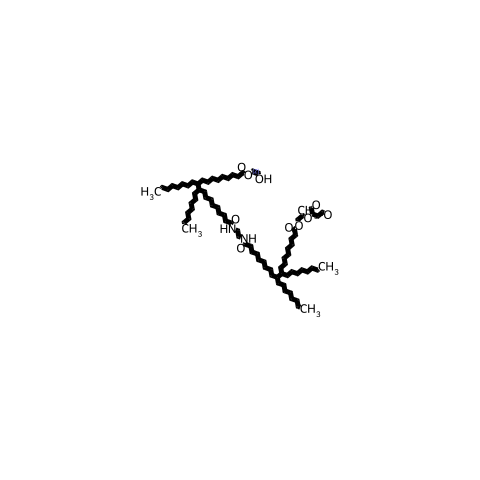 CCCCCCCCC(CCCCCCCCC(=O)NCCNC(=O)CCCCCCCCC(CCCCCCCC)C(CCCCCCCC)CCCCCCCCC(=O)OCC(C)OC(C=O)CC=O)C(CCCCCCCC)CCCCCCCCC(=O)O/C=C\O